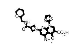 Nc1cc(N2CC(C(=O)NCC3CCCCO3)C2)nc2c1c(=O)c(C(=O)O)cn2-c1nccs1